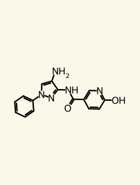 Nc1cn(-c2ccccc2)nc1NC(=O)c1ccc(O)nc1